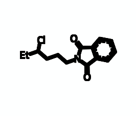 CCC(Cl)CCCN1C(=O)c2ccccc2C1=O